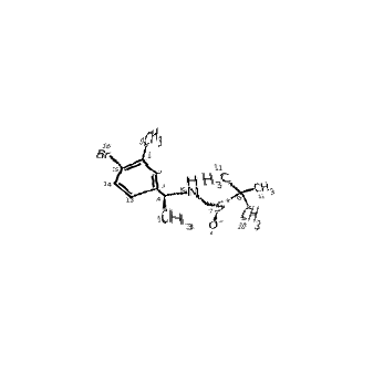 Cc1cc([C@H](C)N[S@+]([O-])C(C)(C)C)ccc1Br